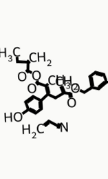 C=C(CC(=C(C)C(=O)OC(=O)C(=C)CC)c1ccc(O)cc1)C(=O)OCc1ccccc1.C=CC#N